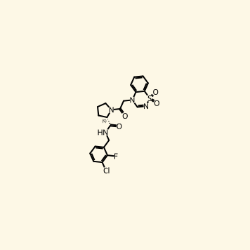 O=C(NCc1cccc(Cl)c1F)[C@@H]1CCCN1C(=O)CN1C=NS(=O)(=O)c2ccccc21